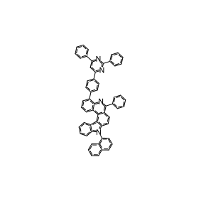 c1ccc(-c2cc(-c3ccc(-c4cccc5c4nc(-c4ccccc4)c4ccc6c(c7ccccc7n6-c6cccc7ccccc67)c45)cc3)nc(-c3ccccc3)n2)cc1